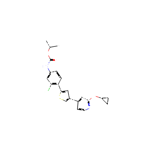 CC(C)OC(=O)Nc1ccc(-c2cc(-c3ccnc(OC4CC4)c3)cs2)c(Cl)c1